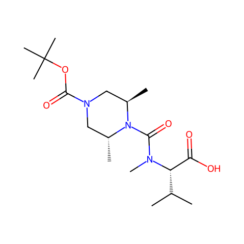 CC(C)[C@@H](C(=O)O)N(C)C(=O)N1[C@H](C)CN(C(=O)OC(C)(C)C)C[C@H]1C